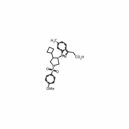 COc1ccc(S(=O)(=O)N2CC(C3CCC3)[C@@H](n3nc(CC(=O)O)c4ccc(C)cc43)C2)cc1